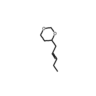 CC/C=C/CC1CCOCO1